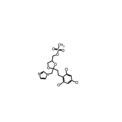 CS(=O)(=O)OCC1COC(CCc2c(Cl)cc(Cl)cc2Cl)(Cn2ccnc2)O1